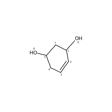 OC1C=CCC(O)C1